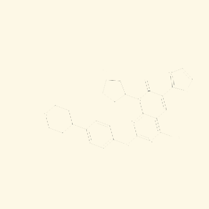 Cc1nc(Nc2ccc(C3CCNCC3)cc2)nc2c1cc(-c1nccs1)c(=O)n2C1CCCC1.Cl.Cl